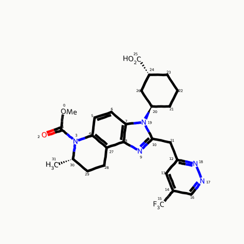 COC(=O)N1c2ccc3c(nc(Cc4cc(C(F)(F)F)cnn4)n3[C@@H]3CCC[C@@H](C(=O)O)C3)c2CC[C@@H]1C